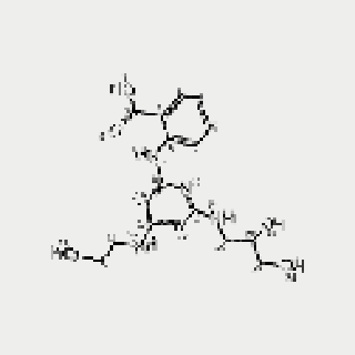 O=C(O)c1ccccc1Nc1nc(NCCO)nc(NCC(O)CO)n1